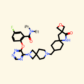 CCN(C(=O)c1cc(F)ccc1Oc1nncnc1N1CC2(CCN(CC3CCC4(CC3)CC3(COC3)C(=O)N4)CC2)C1)C(C)C